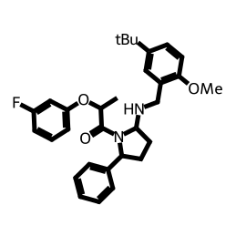 COc1ccc(C(C)(C)C)cc1CNC1CCC(c2ccccc2)N1C(=O)C(C)Oc1cccc(F)c1